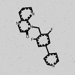 O=c1cnc2cccnc2n1Cc1c(F)cc(-c2ccncc2)cc1F